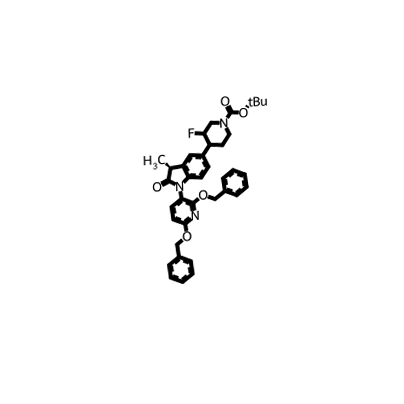 C[C@@H]1C(=O)N(c2ccc(OCc3ccccc3)nc2OCc2ccccc2)c2ccc(C3CCN(C(=O)OC(C)(C)C)CC3F)cc21